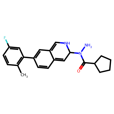 Cc1ccc(F)cc1-c1ccc2c(c1)=CNC(N(N)C(=O)C1CCCC1)C=2